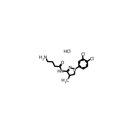 CC1CN(c2ccc(Cl)c(Cl)c2)N=C1NC(=O)CCCN.Cl